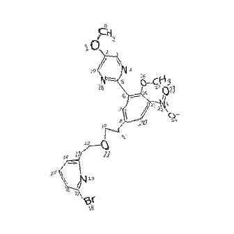 COc1cnc(-c2cc(CCOCc3cccc(Br)n3)cc([N+](=O)[O-])c2OC)nc1